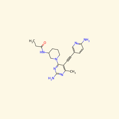 CCC(=O)NC1CCCN(c2nc(N)nc(C)c2C#Cc2ccc(N)nc2)C1